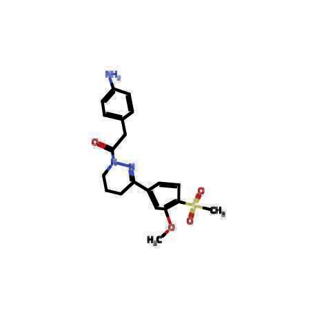 COc1cc(C2=NN(C(=O)Cc3ccc(N)cc3)CCC2)ccc1S(C)(=O)=O